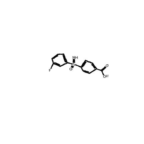 N=S(=O)(c1ccc(C(=O)O)cc1)c1cccc(F)c1